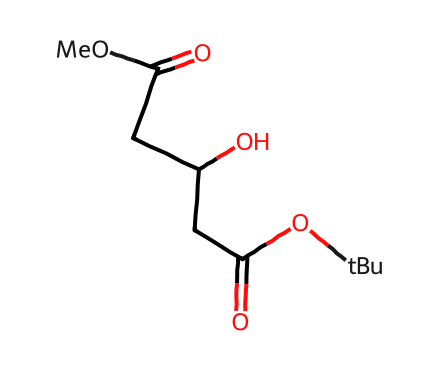 COC(=O)CC(O)CC(=O)OC(C)(C)C